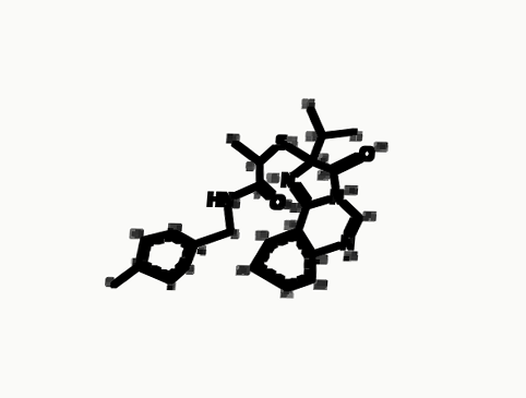 Cc1ccc(CNC(=O)C(C)SC2(C(C)C)N=C3c4ccccc4N=CN3C2=O)cc1